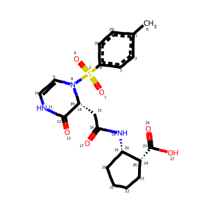 Cc1ccc(S(=O)(=O)N2C=CNC(=O)[C@H]2CC(=O)N[C@H]2CCCC[C@H]2C(=O)O)cc1